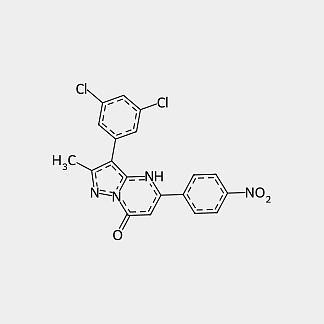 Cc1nn2c(=O)cc(-c3ccc([N+](=O)[O-])cc3)[nH]c2c1-c1cc(Cl)cc(Cl)c1